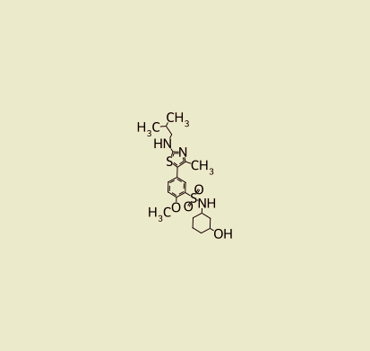 COc1ccc(-c2sc(NCC(C)C)nc2C)cc1S(=O)(=O)NC1CCCC(O)C1